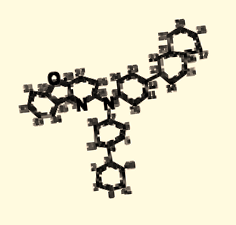 c1ccc(-c2ccc(N(c3ccc(-c4ccc5ccccc5c4)cc3)c3ccc4oc5ccccc5c4n3)cc2)cc1